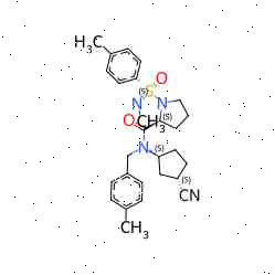 CN=[S@](=O)(c1ccc(C)cc1)N1CCC[C@H]1C(=O)N(Cc1ccc(C)cc1)[C@H]1CC[C@H](C#N)C1